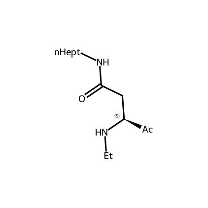 CCCCCCCNC(=O)C[C@H](NCC)C(C)=O